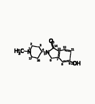 CN1CCC(N2Cc3cc(O)ccc3C2=O)CC1